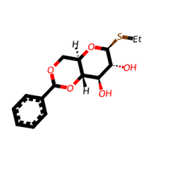 CCS[C@@H]1O[C@@H]2COC(c3ccccc3)O[C@H]2[C@H](O)[C@H]1O